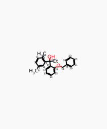 CCC(O)(c1cc(C)ccc1C)c1ccccc1OCc1ccccc1